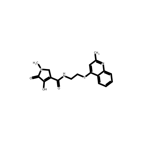 Cc1cc(SCCNC(=O)C2=C(O)C(=O)N(C)C2)c2ccccc2n1